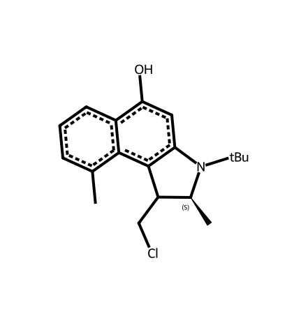 Cc1cccc2c(O)cc3c(c12)C(CCl)[C@H](C)N3C(C)(C)C